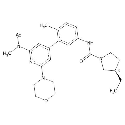 CC(=O)N(C)c1cc(-c2cc(NC(=O)N3CC[C@@H](CC(F)(F)F)C3)ccc2C)cc(N2CCOCC2)n1